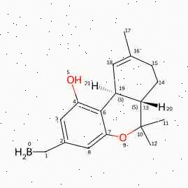 BCc1cc(O)c2c(c1)OC(C)(C)[C@H]1CCC(C)=C[C@H]21